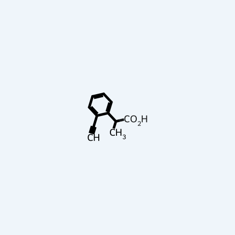 C#Cc1ccccc1C(C)C(=O)O